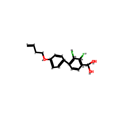 C=CCCOc1ccc(-c2ccc(B(O)O)c(F)c2F)cc1